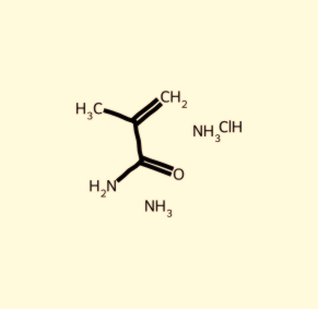 C=C(C)C(N)=O.Cl.N.N